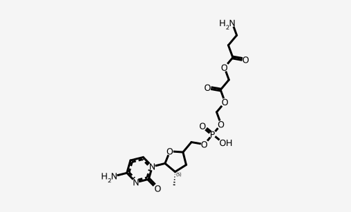 C[C@H]1CC(COP(=O)(O)OCOC(=O)COC(=O)CCN)OC1n1ccc(N)nc1=O